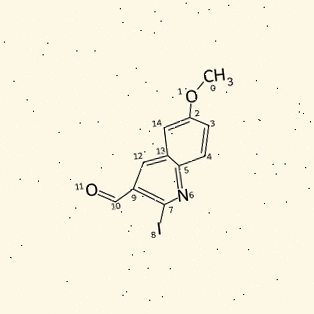 COc1ccc2nc(I)c(C=O)cc2c1